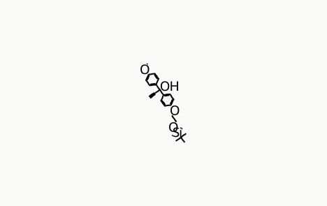 C#CC(O)(c1ccc(OC)cc1)c1ccc(OCCO[Si](C)(C)C(C)(C)C)cc1